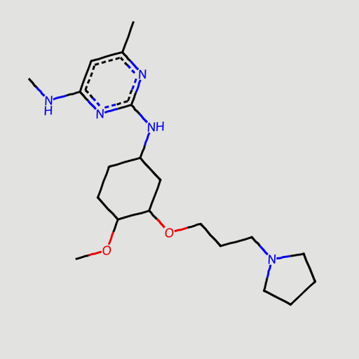 CNc1cc(C)nc(NC2CCC(OC)C(OCCCN3CCCC3)C2)n1